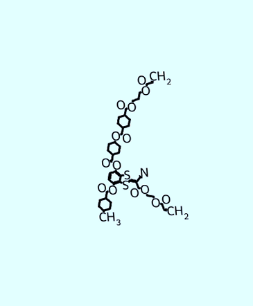 C=CC(=O)OCCCOC(=O)C1CCC(C(=O)OC2CCC(C(=O)Oc3ccc(OC(=O)C4CCC(C)CC4)c4c3S/C(=C(\C#N)C(=O)OCCOC(=O)C=C)S4)CC2)CC1